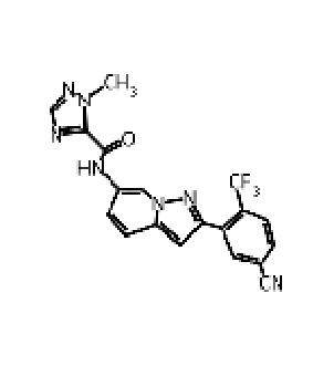 Cn1ncnc1C(=O)Nc1ccc2cc(-c3cc(C#N)ccc3C(F)(F)F)nn2c1